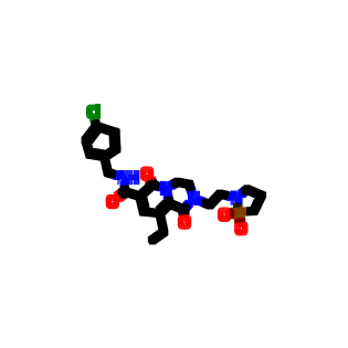 CCc1cc(C(=O)NCc2ccc(Cl)cc2)c(=O)n2c1C(=O)N(CCN1CCCS1(=O)=O)CC2